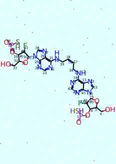 O=[PH](S)OC1C(CO)O[C@@H](n2cnc3c(NC/C=C\CNc4ncnc5c4ncn5[C@@H]4OC(CO)[C@@H](O[PH](=O)S)[C@H]4F)ncnc32)[C@@H]1F